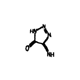 N=C1N=NNC1=O